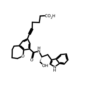 O=C(O)CCCC#Cc1cc2c(c(C(=O)N[C@@H](CO)Cc3c[nH]c4ccccc34)c1)OCCCC2